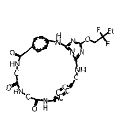 CCC(F)(F)COc1nc2nc(n1)Nc1ccc(cc1)C(=O)NCC(=O)NCC(=O)Nc1ccc(cc1)CN2